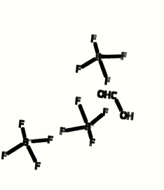 F[B-](F)(F)F.F[B-](F)(F)F.F[B-](F)(F)F.O=CO